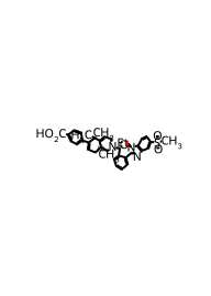 CCn1c(-c2ccccc2C(=O)N2CC=C3C(C)(C)C(c4ccc(C(=O)O)cc4)=CC[C@]3(C)C2)nc2cc(S(C)(=O)=O)ccc21